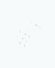 FC(F)(I)COC(F)(F)C(F)(F)C(F)(F)I